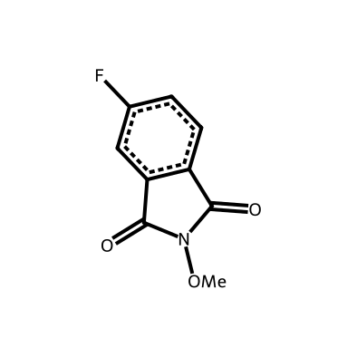 CON1C(=O)c2ccc(F)cc2C1=O